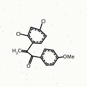 C=C(C(=O)c1ccc(OC)cc1)c1ccc(Cl)cc1Cl